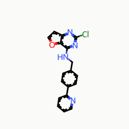 Clc1nc(NCc2ccc(-c3ccccn3)cc2)c2occc2n1